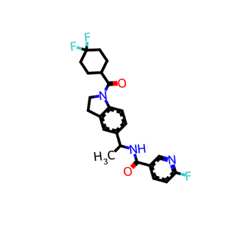 CC(NC(=O)c1ccc(F)nc1)c1ccc2c(c1)CCN2C(=O)C1CCC(F)(F)CC1